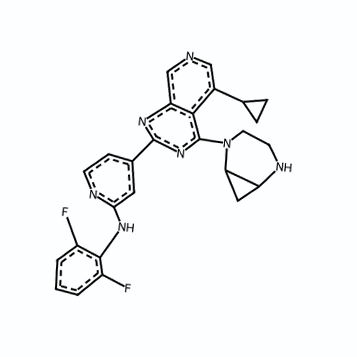 Fc1cccc(F)c1Nc1cc(-c2nc(N3CCNC4CC43)c3c(C4CC4)cncc3n2)ccn1